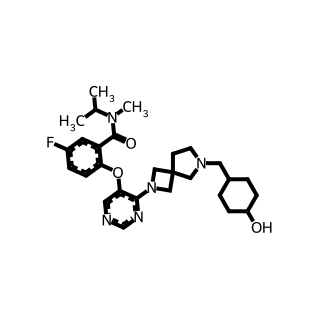 CC(C)N(C)C(=O)c1cc(F)ccc1Oc1cncnc1N1CC2(CCN(CC3CCC(O)CC3)C2)C1